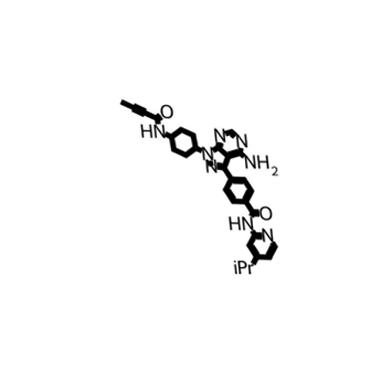 CC#CC(=O)NC1CCC(n2nc(-c3ccc(C(=O)Nc4cc(C(C)C)ccn4)cc3)c3c(N)ncnc32)CC1